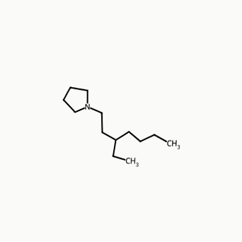 CCCCC(CC)CCN1CCCC1